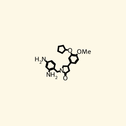 COc1ccc(C2CC(=O)N(Cc3ccc(N)cc3N)C2)cc1OC1CCCC1